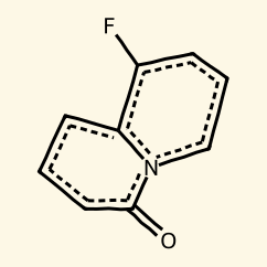 O=c1cccc2c(F)cccn12